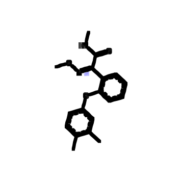 CNC(=O)/C(=N\OC)c1ccccc1Oc1ccc(C)c(C)c1